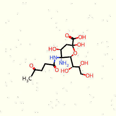 CC(=O)CCC(=O)N[C@@]1(N)[C@@H](O)CC(O)(C(=O)O)O[C@H]1[C@H](O)[C@H](O)CO